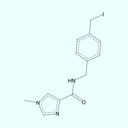 Cn1cnc(C(=O)NCc2ccc(CI)cc2)c1